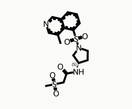 Cc1cncc2cccc(S(=O)(=O)N3CC[C@H](NC(=O)CS(C)(=O)=O)C3)c12